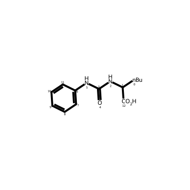 CCCCC(NC(=O)Nc1ccccc1)C(=O)O